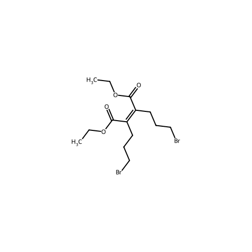 CCOC(=O)C(CCCBr)=C(CCCBr)C(=O)OCC